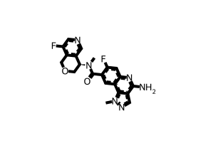 CN(C(=O)c1cc2c(cc1F)nc(N)c1cnn(C)c12)[C@@H]1COCc2c(F)cncc21